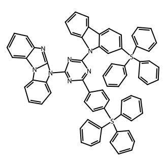 c1ccc(S(c2ccccc2)(c2ccccc2)c2ccc(-c3nc(-n4c5ccccc5c5ccc(S(c6ccccc6)(c6ccccc6)c6ccccc6)cc54)nc(-n4c5ccccc5n5c6ccccc6nc45)n3)cc2)cc1